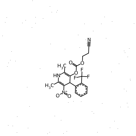 CC1=C(OC(=O)OCCC#N)C(c2ccccc2C(F)(F)F)C([N+](=O)[O-])=C(C)N1